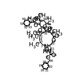 CO[C@]1(C)C[C@@H](C)CN(C)[C@@H](CNC(=O)OCc2ccccc2)COC(=O)C(C)C(=O)[C@H](C)[C@H]1O[C@@H]1O[C@H](C)C[C@H](N(C)C)[C@H]1OC(=O)c1ccccc1